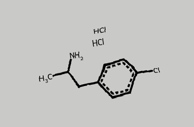 CC(N)Cc1ccc(Cl)cc1.Cl.Cl